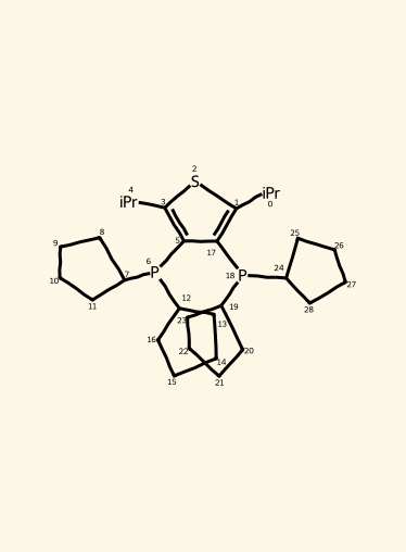 CC(C)c1sc(C(C)C)c(P(C2CCCC2)C2CCCC2)c1P(C1CCCC1)C1CCCC1